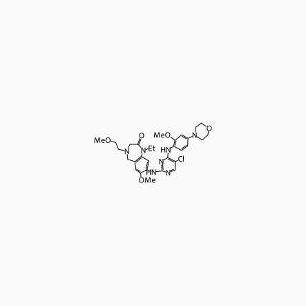 CCN1C(=O)CN(CCOC)Cc2cc(OC)c(Nc3ncc(Cl)c(Nc4ccc(N5CCOCC5)cc4OC)n3)cc21